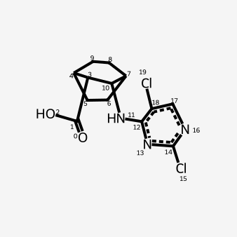 O=C(O)C1C2CCC(CC2)C1Nc1nc(Cl)ncc1Cl